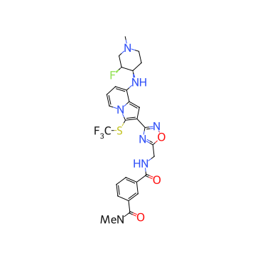 CNC(=O)c1cccc(C(=O)NCc2nc(-c3cc4c(N[C@@H]5CCN(C)C[C@@H]5F)cccn4c3SC(F)(F)F)no2)c1